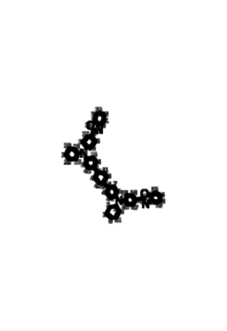 C1=CCC(N(c2ccc(-c3ccc(-c4ccc(N(c5ccccc5)c5ccc(-c6nc7ccccc7o6)cc5)cc4)cc3)cc2)c2ccc(-c3nc4ccccc4o3)cc2)C=C1